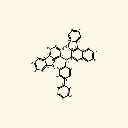 c1ccc(-c2ccc(N(c3cc4ccccc4c4c3oc3ccccc34)c3cccc4c3sc3ccccc34)cc2)cc1